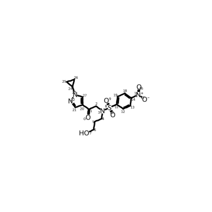 O=C(CN(CCCO)S(=O)(=O)c1ccc([N+](=O)[O-])cc1)c1cnn(C2CC2)c1